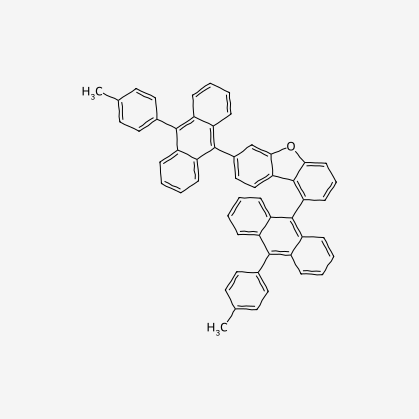 Cc1ccc(-c2c3ccccc3c(-c3ccc4c(c3)oc3cccc(-c5c6ccccc6c(-c6ccc(C)cc6)c6ccccc56)c34)c3ccccc23)cc1